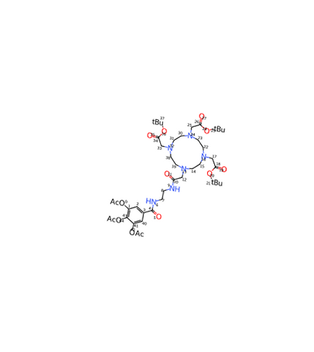 CC(=O)Oc1cc(C(=O)NCCNC(=O)CN2CCN(CC(=O)OC(C)(C)C)CCN(CC(=O)OC(C)(C)C)CCN(CC(=O)OC(C)(C)C)CC2)cc(OC(C)=O)c1OC(C)=O